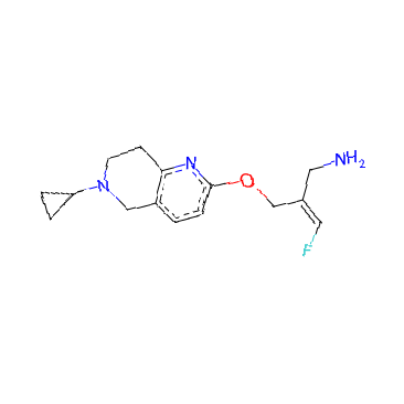 NC/C(=C/F)COc1ccc2c(n1)CCN(C1CC1)C2